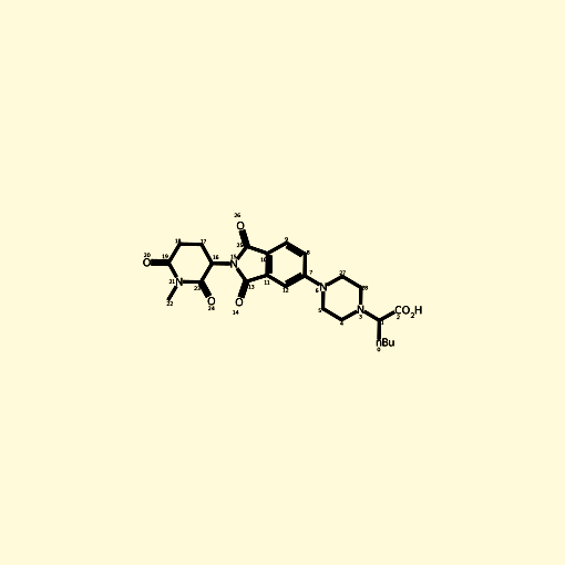 CCCCC(C(=O)O)N1CCN(c2ccc3c(c2)C(=O)N(C2CCC(=O)N(C)C2=O)C3=O)CC1